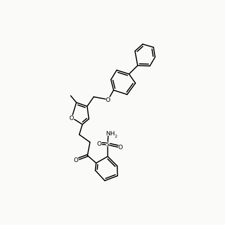 Cc1oc(CCC(=O)c2ccccc2S(N)(=O)=O)cc1COc1ccc(-c2ccccc2)cc1